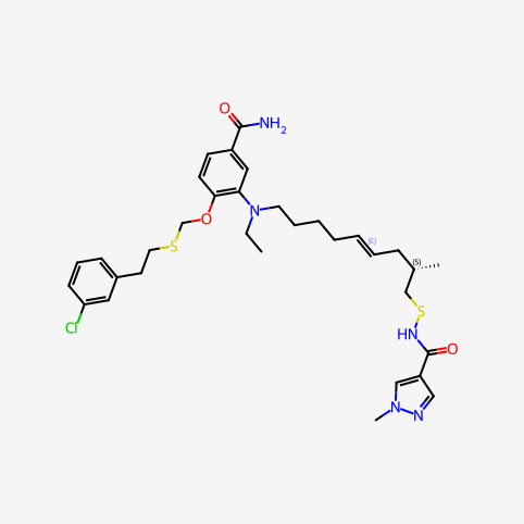 CCN(CCCC/C=C/C[C@H](C)CSNC(=O)c1cnn(C)c1)c1cc(C(N)=O)ccc1OCSCCc1cccc(Cl)c1